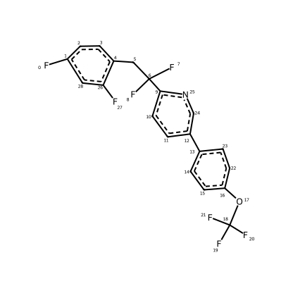 Fc1ccc(CC(F)(F)c2ccc(-c3ccc(OC(F)(F)F)cc3)cn2)c(F)c1